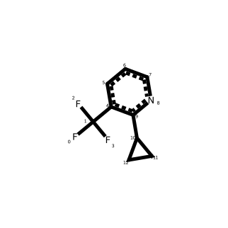 FC(F)(F)c1cccnc1C1[CH]C1